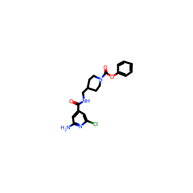 Nc1cc(C(=O)NCC2CCN(C(=O)Oc3ccccc3)CC2)cc(Cl)n1